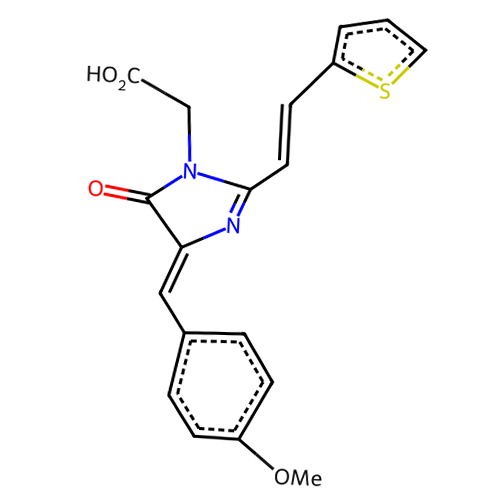 COc1ccc(/C=C2N=C(/C=C/c3cccs3)N(CC(=O)O)C\2=O)cc1